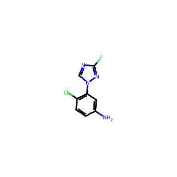 Nc1ccc(Cl)c(-n2cnc(F)n2)c1